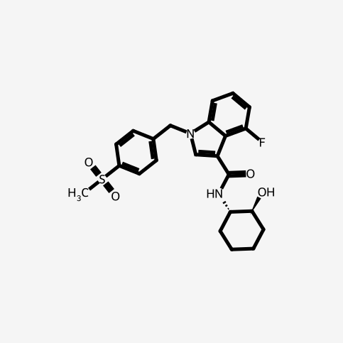 CS(=O)(=O)c1ccc(Cn2cc(C(=O)N[C@H]3CCCC[C@@H]3O)c3c(F)cccc32)cc1